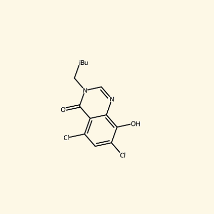 CCC(C)Cn1cnc2c(O)c(Cl)cc(Cl)c2c1=O